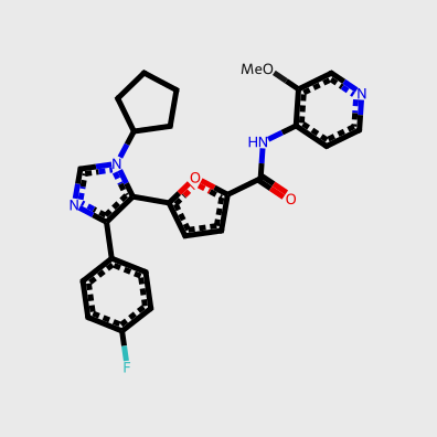 COc1cnccc1NC(=O)c1ccc(-c2c(-c3ccc(F)cc3)ncn2C2CCCC2)o1